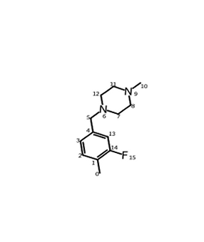 Cc1ccc(CN2CCN(C)CC2)cc1F